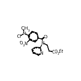 CCOC(=O)CCN(C(=O)c1ccc(N(C)Cl)c([N+](=O)[O-])c1)c1ccccn1